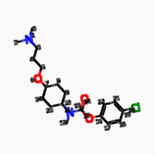 CN(C)CCCOC1CCC(N(C)C(=O)Oc2ccc(Cl)cc2)CC1